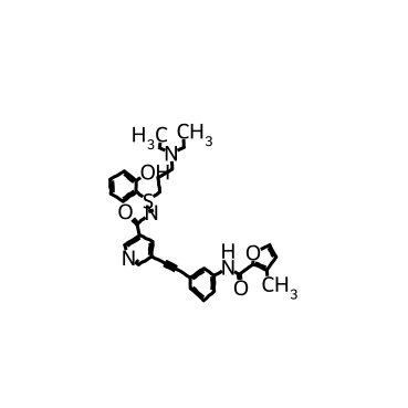 CCN(CC)CCCS(=NC(=O)c1cncc(C#Cc2cccc(NC(=O)c3occc3C)c2)c1)c1ccccc1O